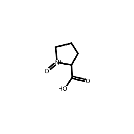 O=C(O)C1CCC[N+]1=O